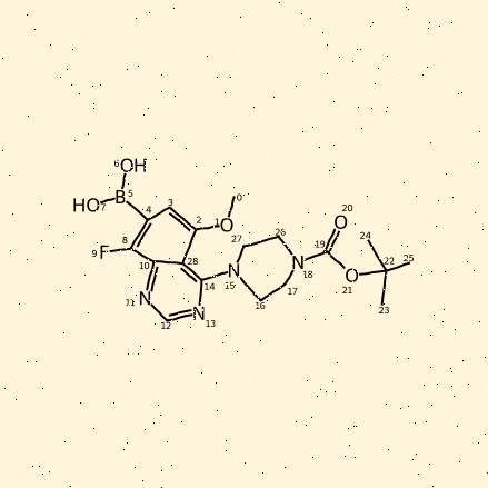 COc1cc(B(O)O)c(F)c2ncnc(N3CCN(C(=O)OC(C)(C)C)CC3)c12